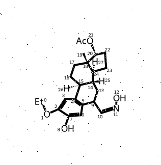 CCOc1cc2c(cc1O)C(/C=N\O)C[C@@H]1[C@@H]2CC[C@]2(C)[C@@H](OC(C)=O)CC[C@@H]12